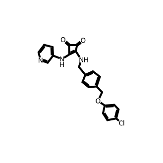 O=c1c(NCc2ccc(COc3ccc(Cl)cc3)cc2)c(Nc2cccnc2)c1=O